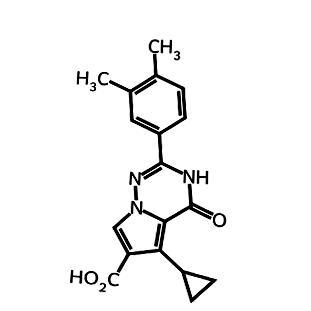 Cc1ccc(-c2nn3cc(C(=O)O)c(C4CC4)c3c(=O)[nH]2)cc1C